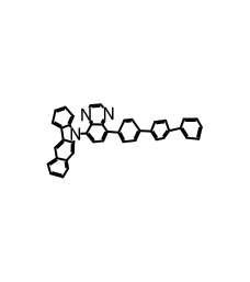 c1ccc(-c2ccc(-c3ccc(-c4ccc(-n5c6ccccc6c6cc7ccccc7cc65)c5nccnc45)cc3)cc2)cc1